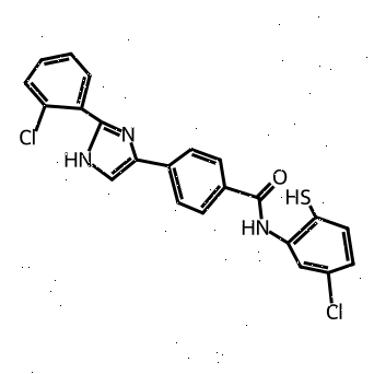 O=C(Nc1cc(Cl)ccc1S)c1ccc(-c2c[nH]c(-c3ccccc3Cl)n2)cc1